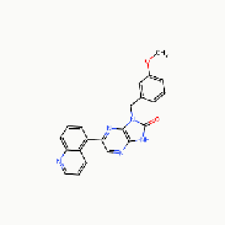 COc1cccc(Cn2c(=O)[nH]c3ncc(-c4cccc5ncccc45)nc32)c1